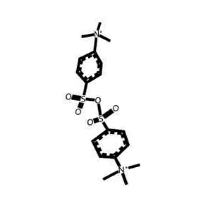 C[N+](C)(C)c1ccc(S(=O)(=O)OS(=O)(=O)c2ccc([N+](C)(C)C)cc2)cc1